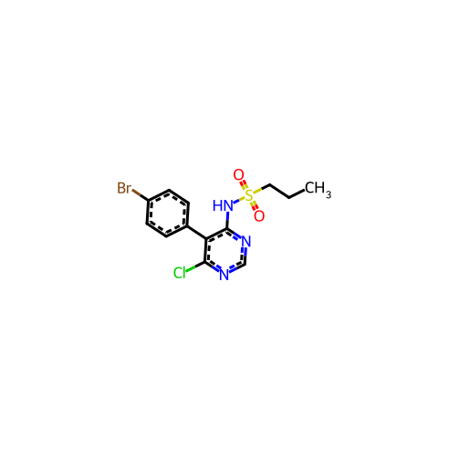 CCCS(=O)(=O)Nc1ncnc(Cl)c1-c1ccc(Br)cc1